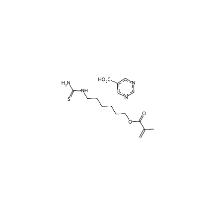 C=C(C)C(=O)OCCCCCCNC(N)=S.O=C(O)c1cncnc1